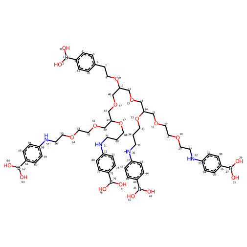 OB(O)c1ccc(CCOC(COCC(COCCOCCNc2ccc(B(O)O)cc2)OCCCNc2ccc(B(O)O)cc2)COCC(COCCOCCNc2ccc(B(O)O)cc2)OCCCNc2ccc(B(O)O)cc2)cc1